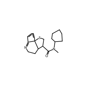 CN(C(=O)C1CSC23C=CC=CC2=NCCC13)C1CCCCC1